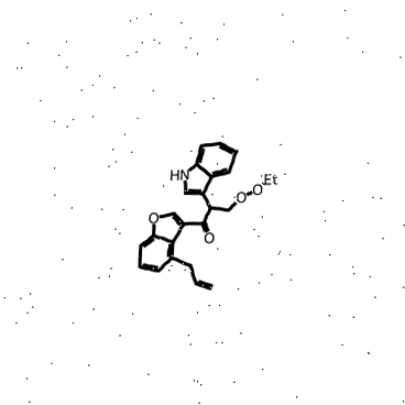 C=CCc1cccc2occ(C(=O)C(COOCC)c3c[nH]c4ccccc34)c12